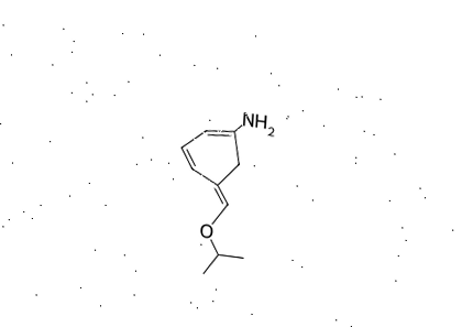 CC(C)OC=C1C=CC=C(N)C1